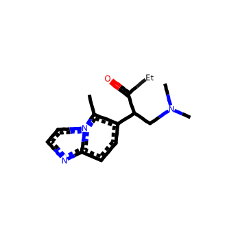 CCC(=O)C(CN(C)C)c1ccc2nccn2c1C